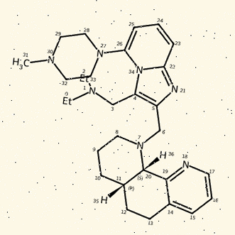 CCN(CC)Cc1c(CN2CCC[C@H]3CCc4cccnc4[C@H]32)nc2cccc(N3CCN(C)CC3)n12